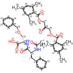 CC(=O)N[C@@H](Cc1ccccc1)C(=O)N[C@@H](COCc1ccccc1)C(=O)O.Cc1cc(C)c(C(=O)OCC(=O)COC(=O)c2c(C)cc(C)cc2C)c(C)c1